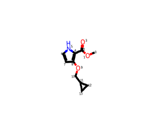 COC(=O)c1[nH]ccc1OCC1CC1